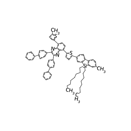 CCCCCCCC[Si]1(CCCCCCCC)c2cc(C)ccc2-c2ccc(-c3ccc(-c4ccc(-c5ccc(C)s5)c5nc(-c6ccc(-c7ccccc7)cc6)c(-c6ccc(-c7ccccc7)cc6)nc45)s3)cc21